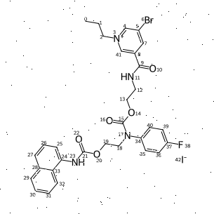 CCC[n+]1cc(Br)cc(C(=O)NCCOC(=O)N(CCOC(=O)Nc2cccc3ccccc23)c2ccc(F)cc2)c1.[I-]